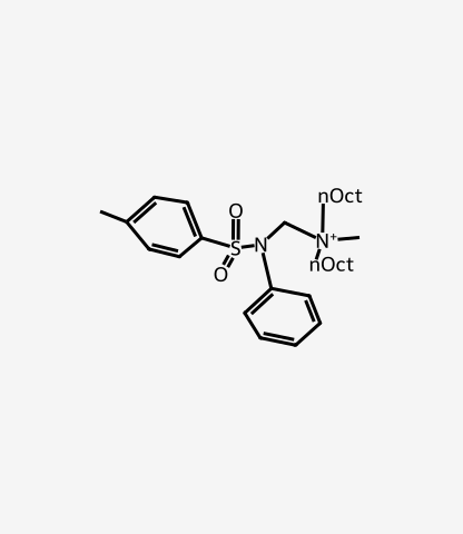 CCCCCCCC[N+](C)(CCCCCCCC)CN(c1ccccc1)S(=O)(=O)c1ccc(C)cc1